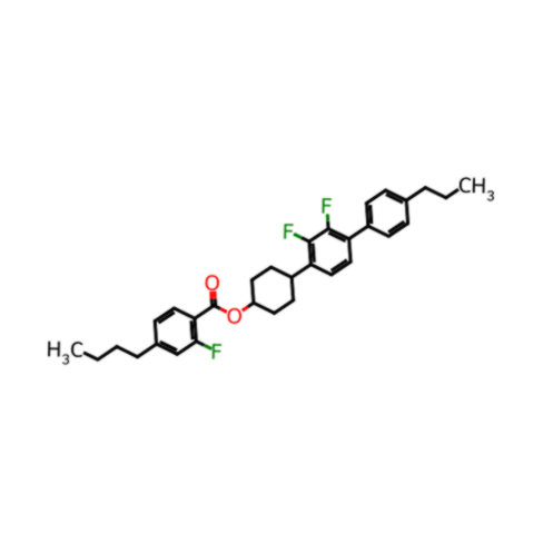 CCCCc1ccc(C(=O)OC2CCC(c3ccc(-c4ccc(CCC)cc4)c(F)c3F)CC2)c(F)c1